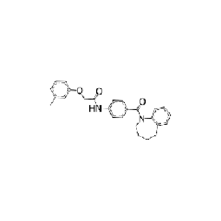 Cc1cccc(OCC(=O)Nc2ccc(C(=O)N3CCCCc4ccccc43)cc2)c1